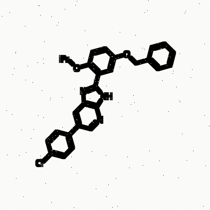 CC(C)Oc1ccc(OCc2ccccc2)cc1-c1nc2cc(-c3ccc(Cl)cc3)cnc2[nH]1